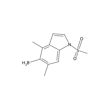 Bc1c(C)cc2c(ccn2S(C)(=O)=O)c1C